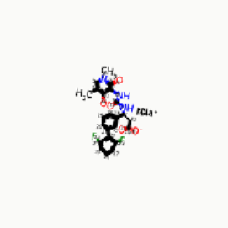 Cc1cn(C)c(=O)c(NC(=O)N[C@@H](CC(=O)[O-])c2cccc(-c3c(F)cccc3F)c2)c1[O-].[Na+].[Na+]